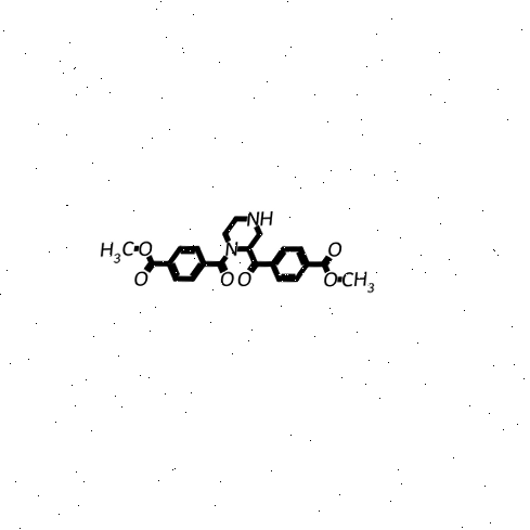 COC(=O)c1ccc(C(=O)C2CNCCN2C(=O)c2ccc(C(=O)OC)cc2)cc1